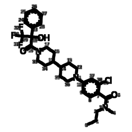 CCCN(C)C(=O)c1ccc(N2CCC(C3CCN(C(=O)C(O)(c4ccccc4)C(F)(F)F)CC3)CC2)cc1Cl